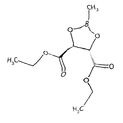 CCOC(=O)[C@H]1OB(C)O[C@@H]1C(=O)OCC